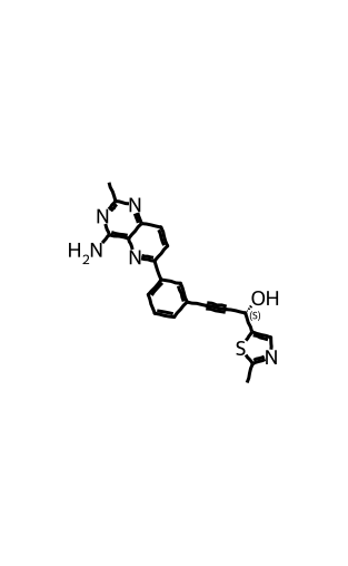 Cc1nc(N)c2nc(-c3cccc(C#C[C@H](O)c4cnc(C)s4)c3)ccc2n1